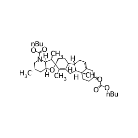 CCCCOC(=O)O[C@H]1CC[C@@]2(C)C(=CC[C@H]3[C@@H]4CC[C@]5(O[C@@H]6C[C@H](C)CN(C(=O)OCCCC)[C@H]6[C@H]5C)C(C)=C4C[C@@H]32)C1